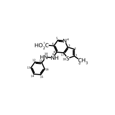 Cc1cc2ncc(C(=O)O)c(NNc3ccccc3)c2s1